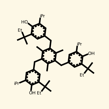 CCC(C)(C)c1cc(Cc2c(C)c(Cc3cc(C(C)C)c(O)c(C(C)(C)CC)c3)c(C)c(Cc3cc(C(C)C)c(O)c(C(C)(C)CC)c3)c2C)cc(C(C)C)c1O